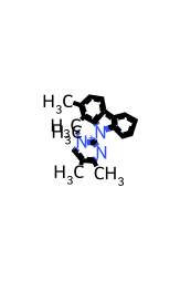 Cc1c[n+](C)c(-n2c3ccccc3c3ccc(C)c(C)c32)nc1C